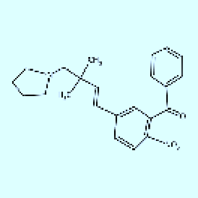 CC(C)(C=Cc1ccc([N+](=O)[O-])c(C(=O)c2ccccc2)c1)CN1CCCC1